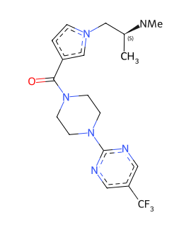 CN[C@@H](C)Cn1ccc(C(=O)N2CCN(c3ncc(C(F)(F)F)cn3)CC2)c1